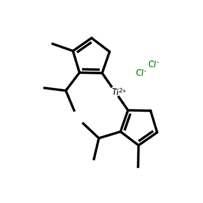 CC1=CC[C]([Ti+2][C]2=C(C(C)C)C(C)=CC2)=C1C(C)C.[Cl-].[Cl-]